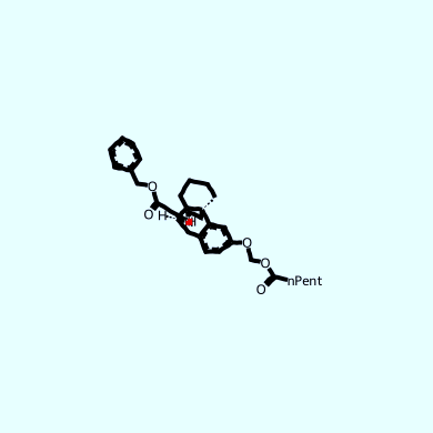 CCCCCC(=O)OCOc1ccc2c(c1)[C@]13CCCC[C@@H]1[C@H](C2)N(C(=O)OCc1ccccc1)CC3